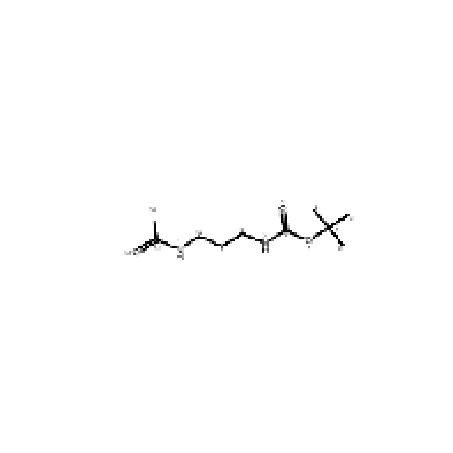 CC(C)(C)OC(=O)NCCCNC(=O)I